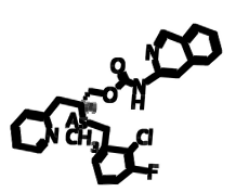 C[As](Cc1cccc(F)c1Cl)[C@@H](COC(=O)Nc1cc2ccccc2cn1)Cc1ccccn1